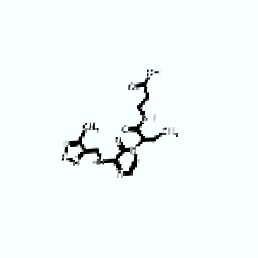 CCC(C(=O)NCCC(=O)O)n1ccnc(NCc2nonc2C)c1=O